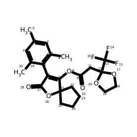 Cc1cc(C)c(C2=C(OC(=O)CC3(C(F)(F)F)OCCO3)C3(CCCC3)OC2=O)c(C)c1